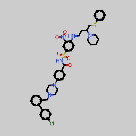 O=C(NS(=O)(=O)c1ccc(NCCC(CSc2ccccc2)N2CCCCC2)c([N+](=O)[O-])c1)c1ccc(N2CCN(Cc3ccccc3-c3ccc(Cl)cc3)CC2)cc1